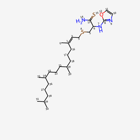 CC(=CCSCC(Nc1ncco1)C(N)=S)CCCC(C)CCCC(C)CCCC(C)C